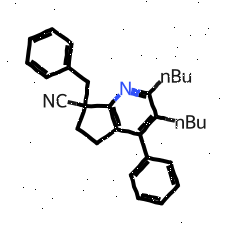 CCCCc1nc2c(c(-c3ccccc3)c1CCCC)CCC2(C#N)Cc1ccccc1